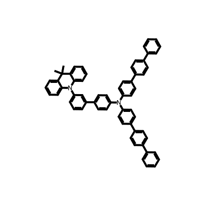 CC1(C)c2ccccc2N(c2cccc(-c3ccc(N(c4ccc(-c5ccc(-c6ccccc6)cc5)cc4)c4ccc(-c5ccc(-c6ccccc6)cc5)cc4)cc3)c2)c2ccccc21